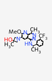 COc1nc2c(C)nnc(N[C@H](C)c3cccc(C(F)(F)F)c3)c2cc1N1CC(C)(O)C1